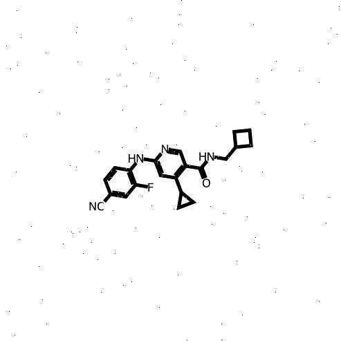 N#Cc1ccc(Nc2cc(C3CC3)c(C(=O)NCC3CCC3)cn2)c(F)c1